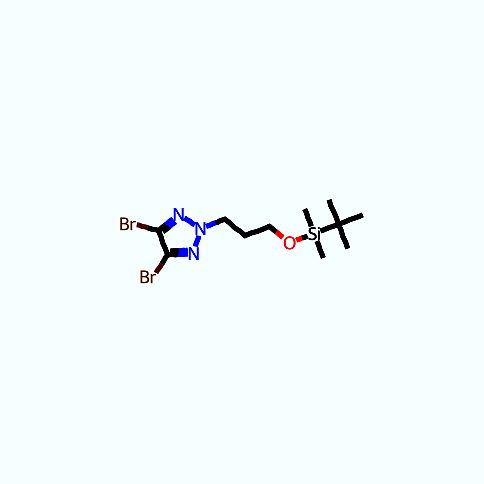 CC(C)(C)[Si](C)(C)OCCCn1nc(Br)c(Br)n1